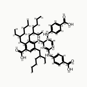 CCCCC(CC)Cc1cc(C(=O)O)c(CC(CC)CCCC)c(CC(CC)CCCC)c1NC1N=C(Nc2ccc(C(=O)O)cc2)N=CN1Nc1ccc(C(=O)O)cc1